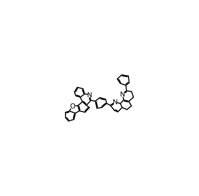 C1=CC2CCC3=C(N=C(c4ccccc4)CC3)C2N=C1c1ccc(-c2nc3ccccc3c3c2ccc2c4ccccc4oc23)cc1